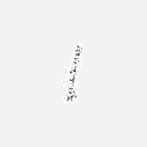 CC(=O)CN(CCOC(C)=O)CCOC(=O)COCC(=O)OCCCNC(=O)OCCCOC(=O)NCCCOC(=O)COCC(=O)OCCN(CCOC(C)=O)CC(C)=O